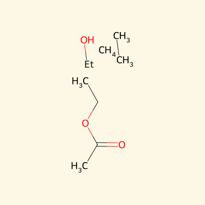 C.CC.CCO.CCOC(C)=O